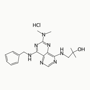 CN(C)c1nc(NCc2ccccc2)c2ncnc(NCC(C)(C)O)c2n1.Cl